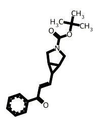 CC(C)(C)OC(=O)N1CC2C(C=CC(=O)c3ccccc3)C2C1